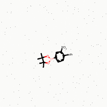 CCCc1ccc(B2OC(C)(C)C(C)(C)O2)cc1[N+](=O)[O-]